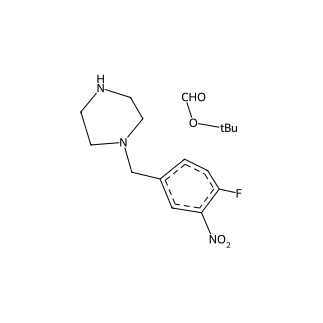 CC(C)(C)OC=O.O=[N+]([O-])c1cc(CN2CCNCC2)ccc1F